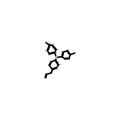 C=CCc1ccc(N(c2ccc(C)cc2)c2ccc(C)cc2)cc1